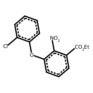 CCOC(=O)c1cccc(Oc2ccccc2Cl)c1[N+](=O)[O-]